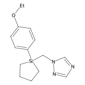 CCOc1ccc([Si]2(Cn3cncn3)CCCC2)cc1